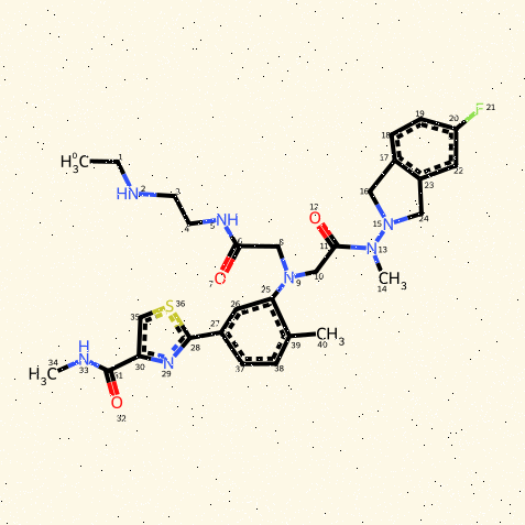 CCNCCNC(=O)CN(CC(=O)N(C)N1Cc2ccc(F)cc2C1)c1cc(-c2nc(C(=O)NC)cs2)ccc1C